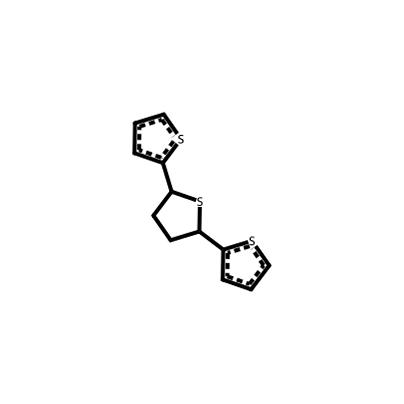 c1csc(C2CCC(c3cccs3)S2)c1